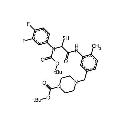 Cc1ccc(CN2CCN(C(=O)OC(C)(C)C)CC2)cc1NC(=O)C(S)N(C(=O)OC(C)(C)C)c1ccc(F)c(F)c1